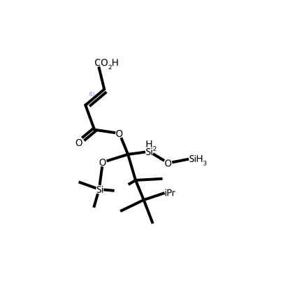 CC(C)C(C)(C)C(C)(C)C(OC(=O)/C=C/C(=O)O)(O[Si](C)(C)C)[SiH2]O[SiH3]